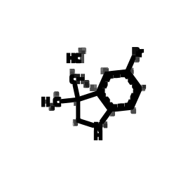 CC1(C)CNc2ccc(Br)cc21.Cl